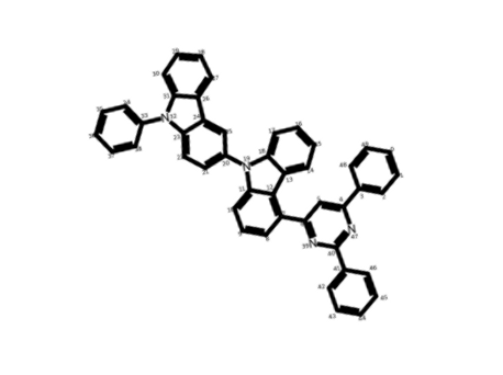 c1ccc(-c2cc(-c3cccc4c3c3ccccc3n4-c3ccc4c(c3)c3ccccc3n4-c3ccccc3)nc(-c3ccccc3)n2)cc1